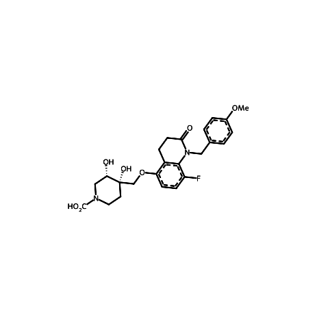 COc1ccc(CN2C(=O)CCc3c(OC[C@@]4(O)CCN(C(=O)O)C[C@@H]4O)ccc(F)c32)cc1